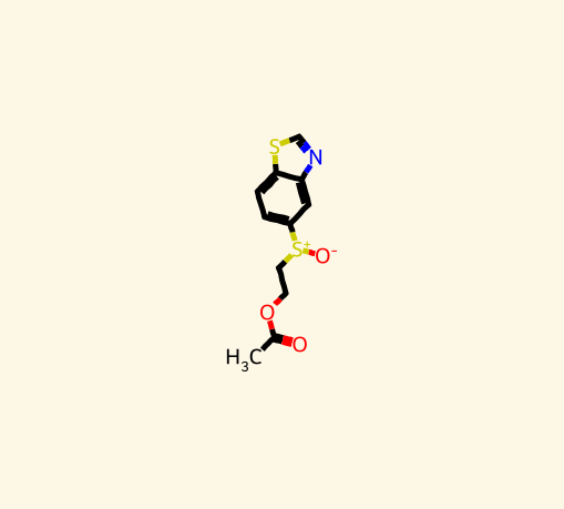 CC(=O)OCC[S+]([O-])c1ccc2scnc2c1